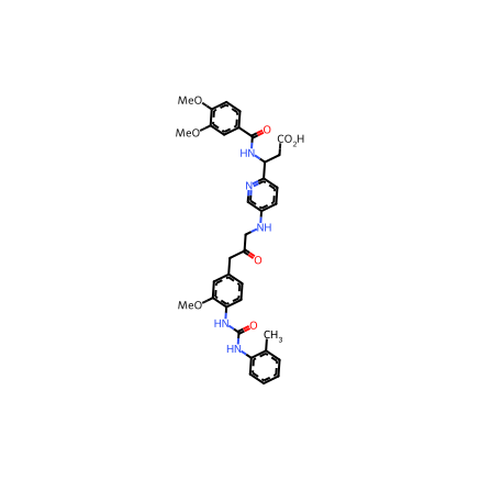 COc1cc(CC(=O)CNc2ccc(C(CC(=O)O)NC(=O)c3ccc(OC)c(OC)c3)nc2)ccc1NC(=O)Nc1ccccc1C